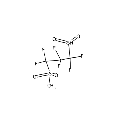 CS(=O)(=O)C(F)(F)C(F)(F)C(F)(F)[SH](=O)=O